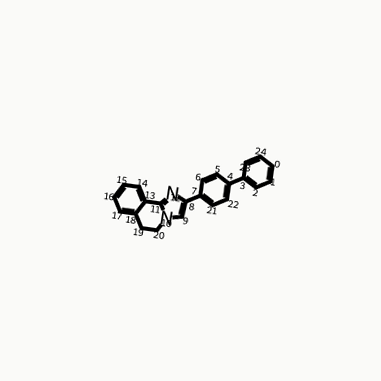 c1ccc(-c2ccc(-c3cn4c(n3)-c3ccccc3CC4)cc2)cc1